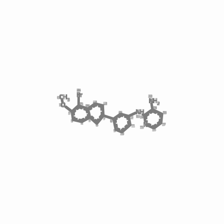 COc1ccc2cc(-c3cccc(Nc4ncccc4N)c3)ccc2c1Br